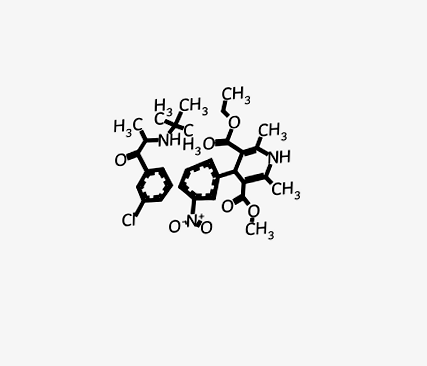 CC(NC(C)(C)C)C(=O)c1cccc(Cl)c1.CCOC(=O)C1=C(C)NC(C)=C(C(=O)OC)C1c1cccc([N+](=O)[O-])c1